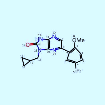 COc1ccc(C(C)C)cc1-c1cnc2[nH]c(=O)n(CC3CC3)c2n1